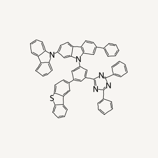 c1ccc(-c2ccc3c4ccc(-n5c6ccccc6c6ccccc65)cc4n(-c4cc(-c5ccc6sc7ccccc7c6c5)cc(-c5nc(-c6ccccc6)nc(-c6ccccc6)n5)c4)c3c2)cc1